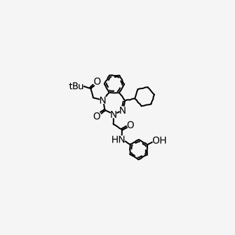 CC(C)(C)C(=O)CN1C(=O)N(CC(=O)Nc2cccc(O)c2)N=C(C2CCCCC2)c2ccccc21